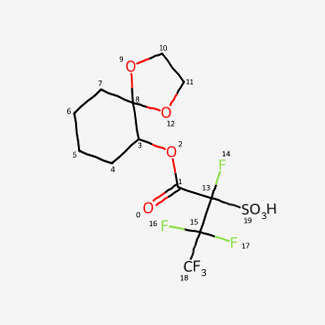 O=C(OC1CCCCC12OCCO2)C(F)(C(F)(F)C(F)(F)F)S(=O)(=O)O